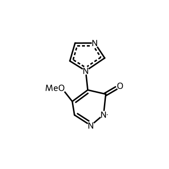 COC1=C(n2ccnc2)C(=O)[N]N=C1